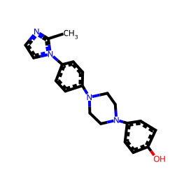 Cc1nccn1-c1ccc(N2CCN(c3ccc(O)cc3)CC2)cc1